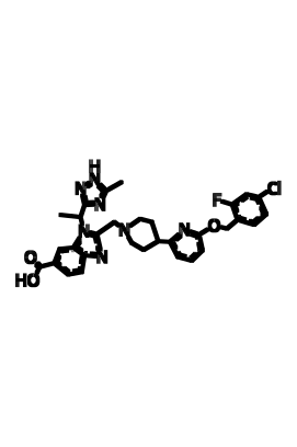 Cc1nc(C(C)n2c(CN3CCC(c4cccc(OCc5ccc(Cl)cc5F)n4)CC3)nc3ccc(C(=O)O)cc32)n[nH]1